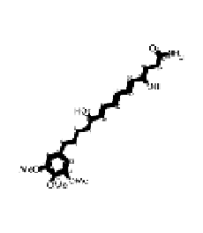 COc1cc(CCCCC(O)/C=C/C=C/C=C/C(O)CCC(N)=O)cc(OC)c1OC